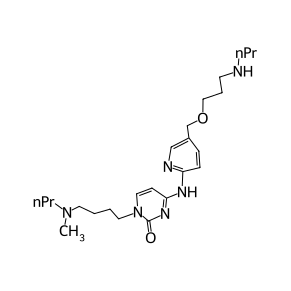 CCCNCCCOCc1ccc(Nc2ccn(CCCCN(C)CCC)c(=O)n2)nc1